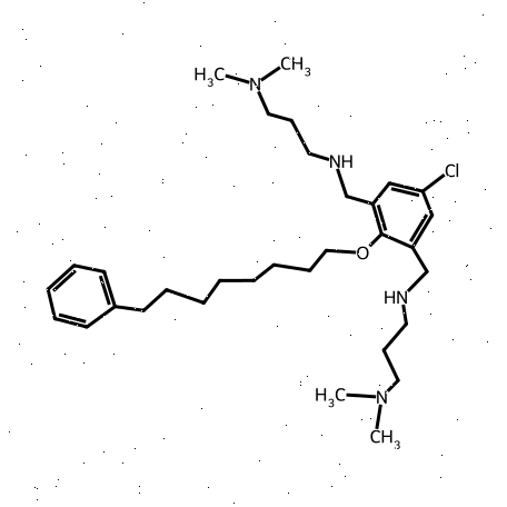 CN(C)CCCNCc1cc(Cl)cc(CNCCCN(C)C)c1OCCCCCCCCc1ccccc1